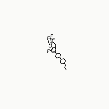 CCCC1CCC(C2CCC(c3cc(F)c4c(c3)CCC(OC(F)(F)F)O4)CC2)CC1